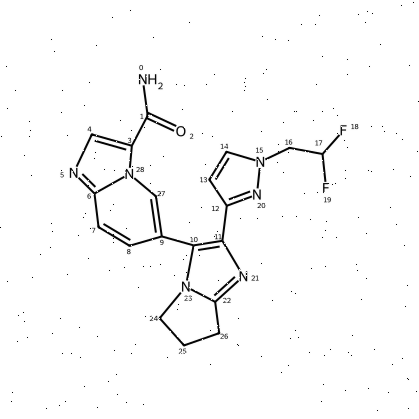 NC(=O)c1cnc2ccc(-c3c(-c4ccn(CC(F)F)n4)nc4n3CCC4)cn12